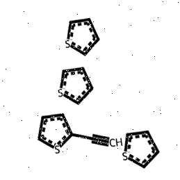 C#Cc1cccs1.c1ccsc1.c1ccsc1.c1ccsc1